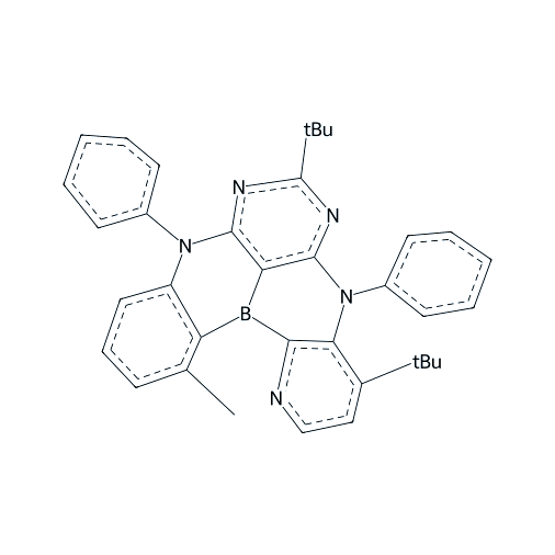 Cc1cccc2c1B1c3nccc(C(C)(C)C)c3N(c3ccccc3)c3nc(C(C)(C)C)nc(c31)N2c1ccccc1